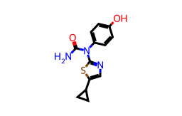 NC(=O)N(c1ccc(O)cc1)c1ncc(C2CC2)s1